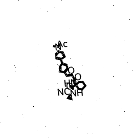 CC(=O)N(C)c1ccc(-c2ccc3cc(C(=O)NC4(C(=O)NC5(C#N)CC5)CCCCC4)oc3c2)cc1